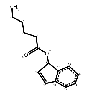 CCCCCC(=O)OC1C=Cc2ccccc21